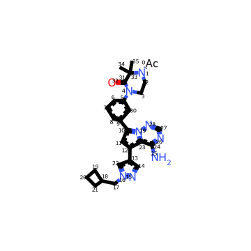 CC(=O)N1CCN(c2cccc(-c3cc(-c4cnn(CC5CCC5)c4)c4c(N)ncnn34)c2)C(=O)C1(C)C